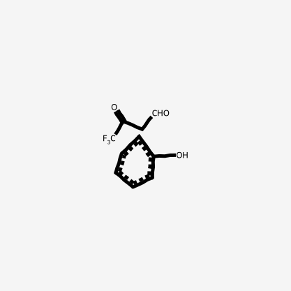 O=CCC(=O)C(F)(F)F.Oc1ccccc1